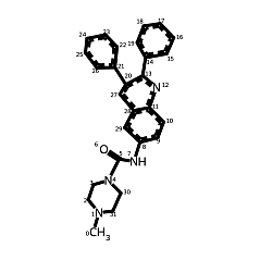 CN1CCN(C(=O)Nc2ccc3nc(-c4ccccc4)c(-c4ccccc4)cc3c2)CC1